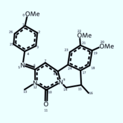 COc1ccc(N=c2cc3n(c(=O)n2C)CC(C)c2cc(OC)c(OC)cc2-3)cc1